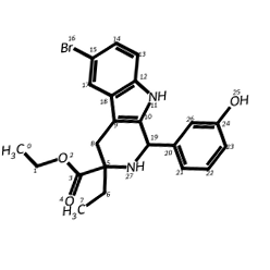 CCOC(=O)C1(CC)Cc2c([nH]c3ccc(Br)cc23)C(c2cccc(O)c2)N1